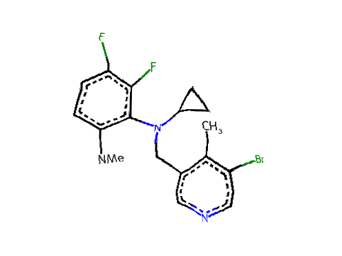 CNc1ccc(F)c(F)c1N(Cc1cncc(Br)c1C)C1CC1